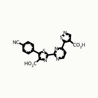 N#Cc1ccc(-c2sc(-c3nccc(-c4sncc4C(=O)O)n3)nc2C(=O)O)cc1